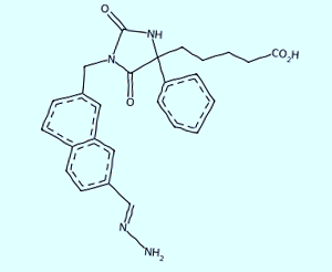 NN=Cc1ccc2ccc(CN3C(=O)NC(CCCCC(=O)O)(c4ccccc4)C3=O)cc2c1